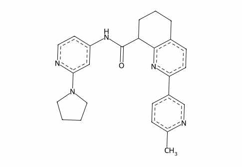 Cc1ccc(-c2ccc3c(n2)C(C(=O)Nc2ccnc(N4CCCC4)c2)CCC3)cn1